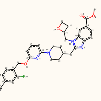 COC(=O)c1ccc2nc(CC3CCN(c4cccc(OCc5ccc(C#N)cc5F)n4)CC3)n(CC3CCO3)c2c1